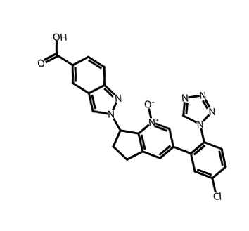 O=C(O)c1ccc2nn(C3CCc4cc(-c5cc(Cl)ccc5-n5cnnn5)c[n+]([O-])c43)cc2c1